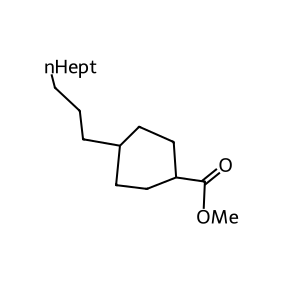 CCCCCCCCCCC1CCC(C(=O)OC)CC1